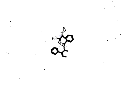 CC=C(c1ccccc1)C(C)N1OC1c1ccccc1/C(=N\OC)C(=O)O